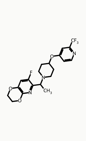 CC(c1nc2c(cc1F)OCCO2)N1CCC(Oc2ccnc(C(F)(F)F)c2)CC1